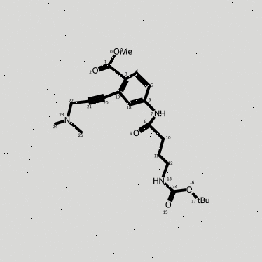 COC(=O)c1ccc(NC(=O)CCCNC(=O)OC(C)(C)C)cc1C#CCN(C)C